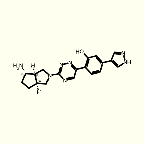 N[C@H]1CC[C@@H]2CN(c3ncc(-c4ccc(-c5cn[nH]c5)cc4O)nn3)C[C@@H]21